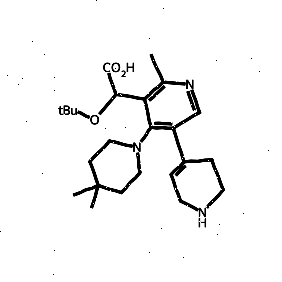 Cc1ncc(C2=CCNCC2)c(N2CCC(C)(C)CC2)c1C(OC(C)(C)C)C(=O)O